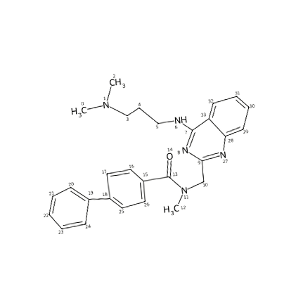 CN(C)CCCNc1nc(CN(C)C(=O)c2ccc(-c3ccccc3)cc2)nc2ccccc12